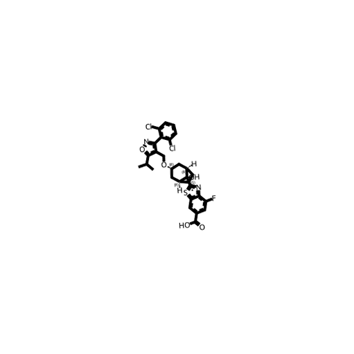 CC(C)c1onc(-c2c(Cl)cccc2Cl)c1CO[C@@H]1C[C@H]2C[C@H](C)[C@@H](C1)[C@]2(O)c1nc2c(F)cc(C(=O)O)cc2s1